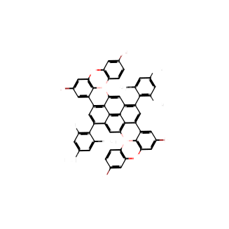 CC(C)(C)c1cc(C(C)(C)C)c(-c2cc3c4c(cc5c(-c6c(C(C)(C)C)cc(C(C)(C)C)cc6C(C)(C)C)cc6c7c(cc2c4c57)B2c4ccc(Br)cc4Oc4cc(Br)cc-6c42)B2c4ccc(Br)cc4Oc4cc(Br)cc-3c42)c(C(C)(C)C)c1